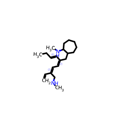 C=C/C(=C/C=C(\C=C\CC)CC1CCCCCC1NC)CNC